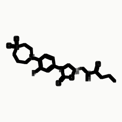 CCCC(=O)NC[C@H]1CN(c2ccc(N3CCCS(=O)(=O)CC3)c(F)c2)C(=O)O1